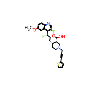 COc1ccc2ncc(F)c([C@@H](F)CC[C@H]3CCN(CC#Cc4cccs4)C[C@H]3C(=O)O)c2c1